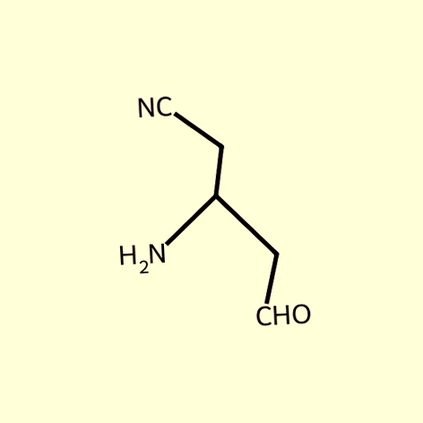 N#CCC(N)CC=O